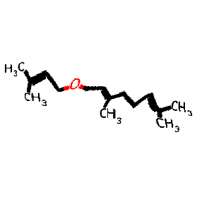 CC(C)=CCC/C(C)=C/COCC=C(C)C